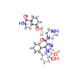 COC[C@]1(O)CCCC[C@H]1n1cnc(C(=O)N2CCNC[C@H]2CCOc2cccc3c2CCNC3=O)c1-c1ccccc1